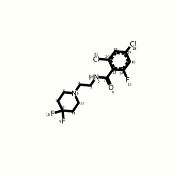 O=C(NCCN1CCC(F)(F)CC1)c1c(F)cc(Cl)cc1Cl